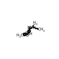 CCCCCCC(CC)NCC(=O)c1ccc(NS(=O)(=O)c2ccc(C)cc2)cc1